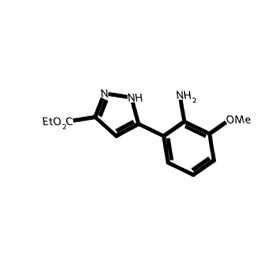 CCOC(=O)c1cc(-c2cccc(OC)c2N)[nH]n1